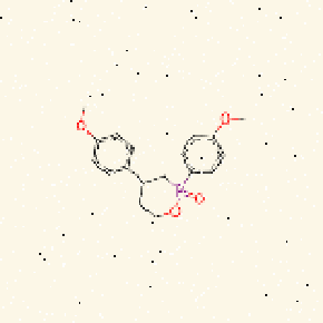 COc1ccc(C2CCOP(=O)(c3ccc(OC)cc3)C2)cc1